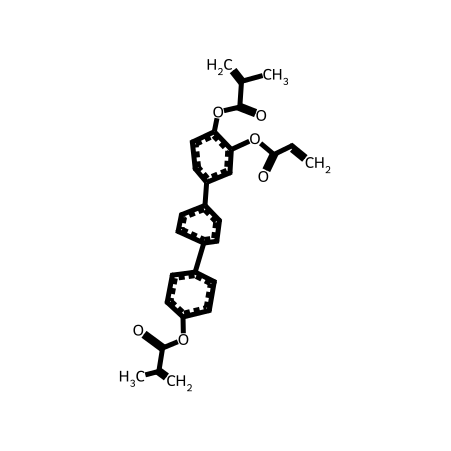 C=CC(=O)Oc1cc(-c2ccc(-c3ccc(OC(=O)C(=C)C)cc3)cc2)ccc1OC(=O)C(=C)C